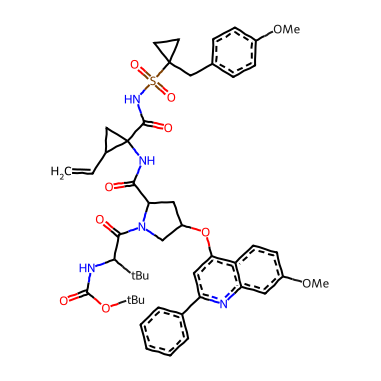 C=CC1CC1(NC(=O)C1CC(Oc2cc(-c3ccccc3)nc3cc(OC)ccc23)CN1C(=O)C(NC(=O)OC(C)(C)C)C(C)(C)C)C(=O)NS(=O)(=O)C1(Cc2ccc(OC)cc2)CC1